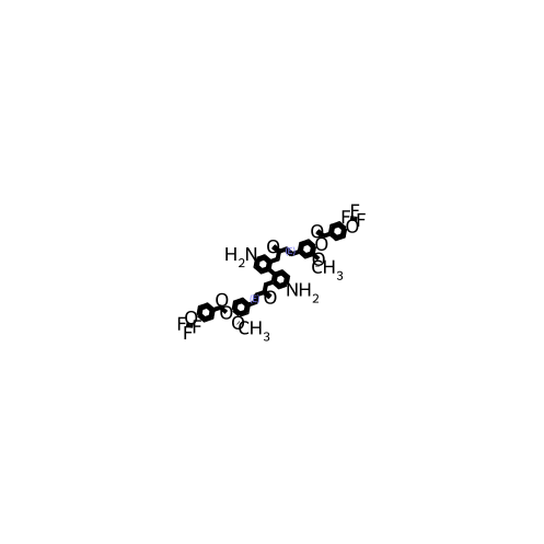 COc1cc(/C=C/C(=O)Cc2cc(N)ccc2-c2ccc(N)cc2CC(=O)/C=C/c2ccc(OC(=O)c3ccc(OC(F)(F)F)cc3)c(OC)c2)ccc1OC(=O)c1ccc(OC(F)(F)F)cc1